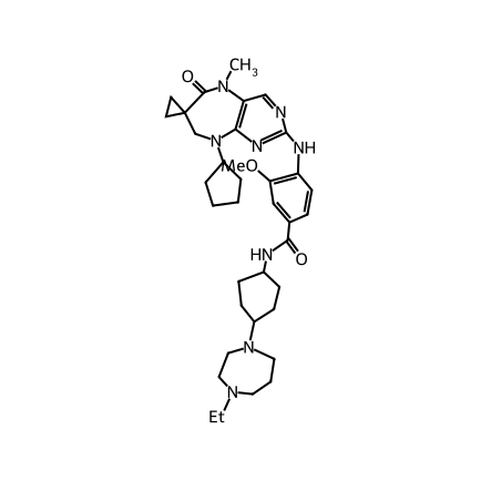 CCN1CCCN(C2CCC(NC(=O)c3ccc(Nc4ncc5c(n4)N(C4CCCC4)CC4(CC4)C(=O)N5C)c(OC)c3)CC2)CC1